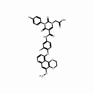 COc1cc2nccc(Oc3ccc(NC(=O)c4cn(CC(=O)O)c(=O)n(-c5ccc(F)cc5)c4=O)cc3F)c2c2c1OCCO2